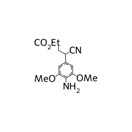 CCOC(=O)CC(C#N)c1cc(OC)c(N)c(OC)c1